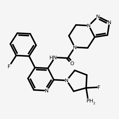 O=C(Nc1c(-c2ccccc2F)ccnc1N1CCC(F)(P)C1)N1CCn2nncc2C1